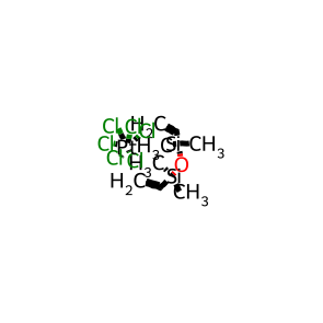 C=C[Si](C)(C)O[Si](C)(C)C=C.[Cl][Pt]([Cl])([Cl])([Cl])([Cl])[Cl]